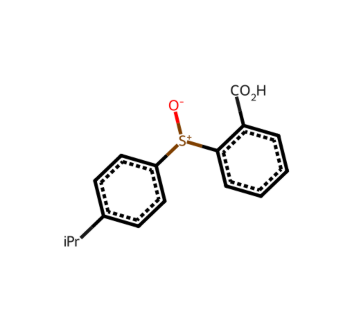 CC(C)c1ccc([S+]([O-])c2ccccc2C(=O)O)cc1